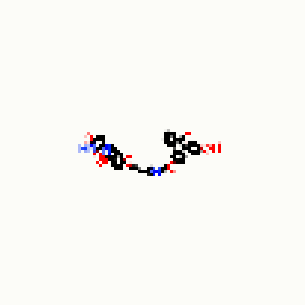 O=C1CCC(N2Cc3cc(OCCCC4CN(CCOc5ccc([C@@H]6c7ccc(O)cc7OCC6c6ccccc6)cc5)C4)ccc3C2=O)C(=O)N1